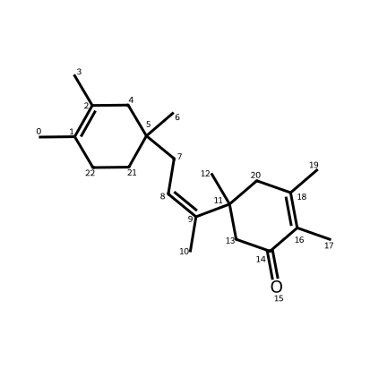 CC1=C(C)CC(C)(C/C=C(/C)C2(C)CC(=O)C(C)=C(C)C2)CC1